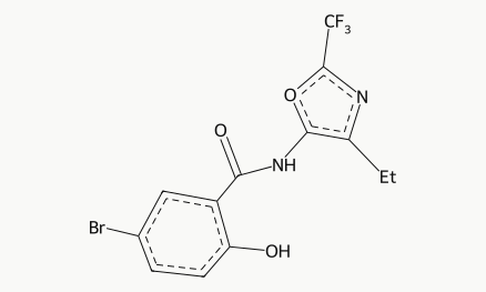 CCc1nc(C(F)(F)F)oc1NC(=O)c1cc(Br)ccc1O